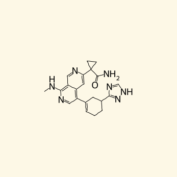 CNc1ncc(C2=CCCC(c3nc[nH]n3)C2)c2cc(C3(C(N)=O)CC3)ncc12